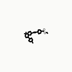 CCOC(=O)c1ccc(C#Cc2ccc3c(c2)C(c2ccc(C)cc2)=CCC3(C)C)cc1